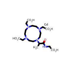 CC(C(=O)NCC(=O)O)N1CCN(CC(=O)O)CCN(CC(=O)O)CCN(CC(=O)O)CC1.[Gd]